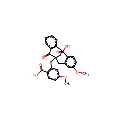 COc1ccc(C(=O)O)c(CC2(Cc3cc(OC)ccc3C(=O)O)CCc3ccccc3C2=O)c1